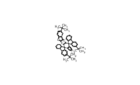 CC(C)(C)c1ccc2c(c1)C1(c3ccccc3-2)c2ccccc2C2(c3ccccc3-c3ccc(C(C)(C)C)cc32)c2cc3c(cc21)oc1ccc(C(C)(C)C)cc13